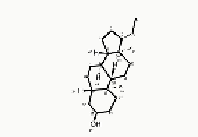 CC[C@H]1CC[C@H]2[C@@H]3CC[C@H]4CC(O)CC[C@]4(C)[C@H]3CC[C@]12C